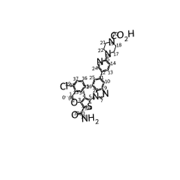 C[C@@H](Oc1cc(-n2cnc3cc(-c4ccc(N5CCN(C(=O)O)CC5)nc4)ccc32)sc1C(N)=O)c1ccccc1Cl